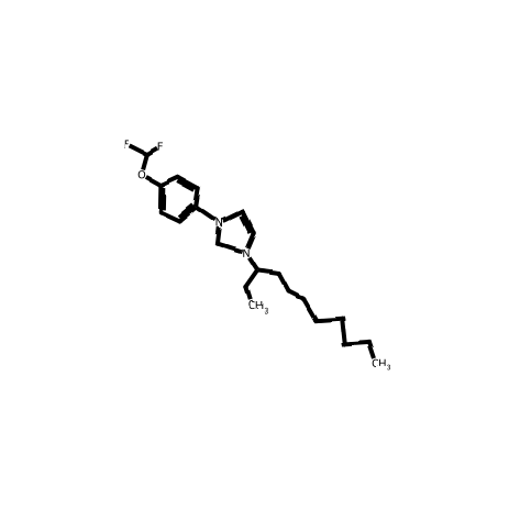 CCCCCCCCC(CC)N1C=CN(c2ccc(OC(F)F)cc2)C1